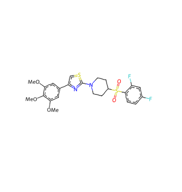 COc1cc(-c2csc(N3CCC(S(=O)(=O)c4ccc(F)cc4F)CC3)n2)cc(OC)c1OC